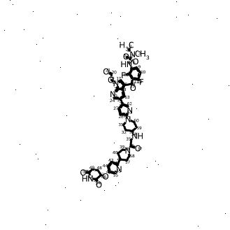 CCN(C)S(=O)(=O)Nc1ccc(F)c(C(=O)c2cn(OC=O)c3ncc(-c4ccc(N5CCC(NCC(=O)N6CCC(c7ccc(OC8CCC(=O)NC8=O)cn7)CC6)CC5)nc4)cc23)c1F